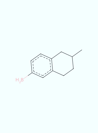 Bc1ccc2c(c1)CCC(C)C2